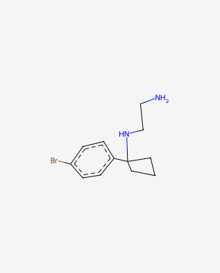 NCCNC1(c2ccc(Br)cc2)CCC1